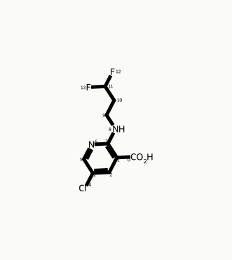 O=C(O)c1cc(Cl)cnc1NCCC(F)F